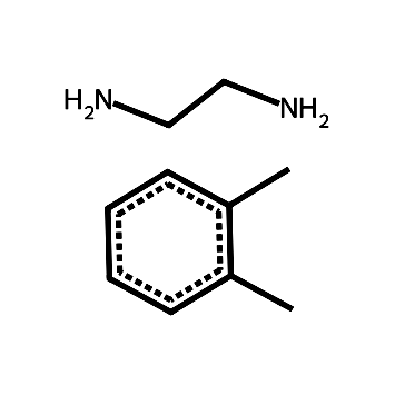 Cc1ccccc1C.NCCN